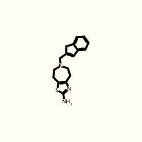 Nc1nc2c(s1)CCN(CC1=Cc3ccccc3C1)CC2